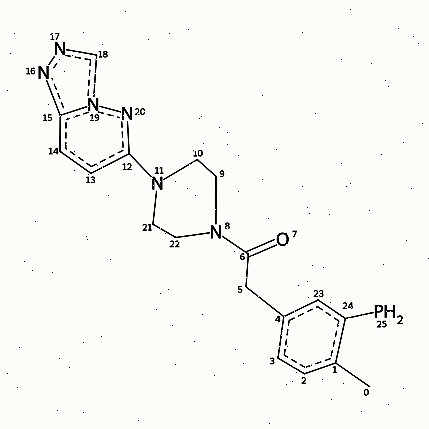 Cc1ccc(CC(=O)N2CCN(c3ccc4nncn4n3)CC2)cc1P